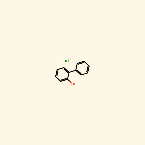 Cl.Oc1ccccc1-c1ccccc1